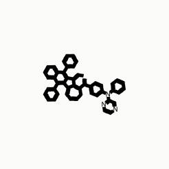 C=C(C1=C2C(=CC=CC1)c1c(c(-c3ccccc3)c3ccccc3c1-c1ccccc1)/C2=C/C)c1ccc(N(c2ccccc2)c2cnccn2)cc1